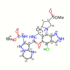 COC(=O)C1CCN(c2c(C(C)NC(=O)c3c(NC(=O)OC(C)(C)C)nn4cccnc34)cc(Cl)c3c[nH]nc23)C1